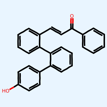 O=C(C=Cc1ccccc1-c1ccccc1-c1ccc(O)cc1)c1ccccc1